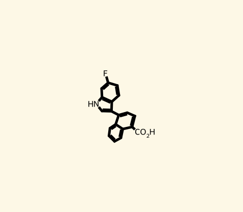 O=C(O)c1ccc(-c2c[nH]c3cc(F)ccc23)c2ccccc12